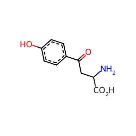 NC(CC(=O)c1ccc(O)cc1)C(=O)O